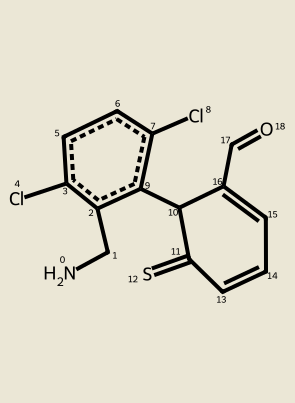 NCc1c(Cl)ccc(Cl)c1C1C(=S)C=CC=C1C=O